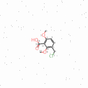 COc1ccc(CCl)c(OC)c1C(=O)O